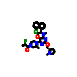 C=C(F)C(=O)N1CCN(c2nc(OC[C@@H]3CCCN3C)nc3c2OCC(c2cccc4cccc(Cl)c24)N3C)[C@@H](C)C1